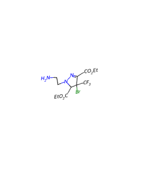 CCOC(=O)C1=NN(CCN)C(C(=O)OCC)C1(Br)C(F)(F)F